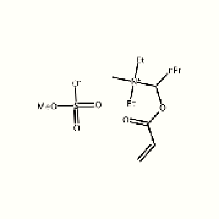 C=CC(=O)OC(CCC)[N+](C)(CC)CC.COS(=O)(=O)[O-]